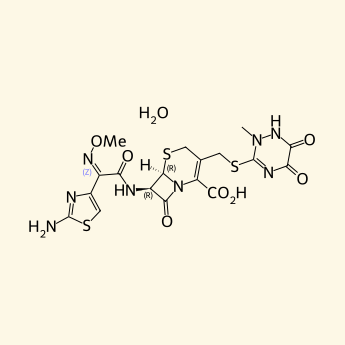 CO/N=C(\C(=O)N[C@@H]1C(=O)N2C(C(=O)O)=C(CSc3nc(=O)c(=O)[nH]n3C)CS[C@H]12)c1csc(N)n1.O